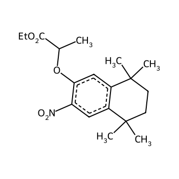 CCOC(=O)C(C)Oc1cc2c(cc1[N+](=O)[O-])C(C)(C)CCC2(C)C